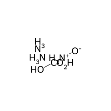 N.N.O=C(O)O.[NH3+][O-]